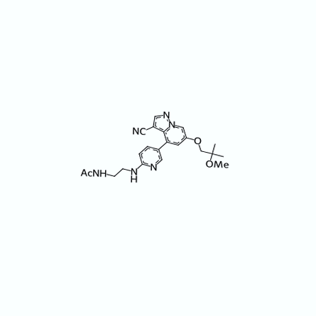 COC(C)(C)COc1cc(-c2ccc(NCCNC(C)=O)nc2)c2c(C#N)cnn2c1